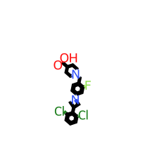 O=C(O)C1CCN(Cc2ccc(N3CC(c4c(Cl)cccc4Cl)C3)cc2F)CC1